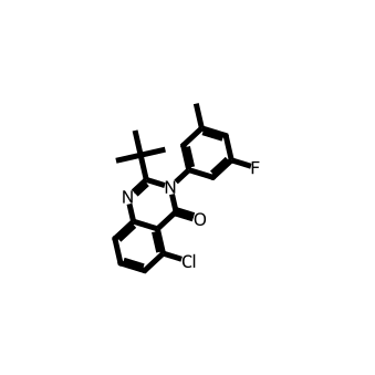 Cc1cc(F)cc(-n2c(C(C)(C)C)nc3cccc(Cl)c3c2=O)c1